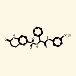 CCOC(=O)c1cccc(NC(=O)C(NS(=O)(=O)c2ccc3c(c2)CCC(=O)N3)c2ccccc2)c1